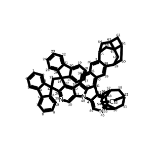 c1ccc2c(c1)-c1ccccc1C21CC2(c3ccccc3-c3ccccc32)c2c1ncc1c2c2cc3cc4c(cc3c3c5c6c(ncc5n1c23)C1CC2CC(C1)CC6C2)C1CC2CC3CC4CC32C1